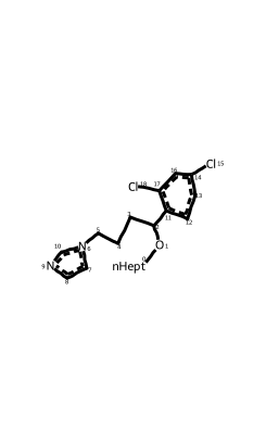 CCCCCCCOC(CCCn1ccnc1)c1ccc(Cl)cc1Cl